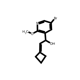 COc1ncc(Br)cc1C(O)C=C1CCC1